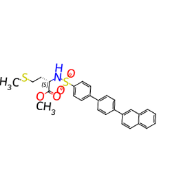 COC(=O)[C@H](CCSC)NS(=O)(=O)c1ccc(-c2ccc(-c3ccc4ccccc4c3)cc2)cc1